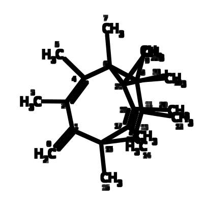 C=C1/C(C)=C(/C)C2(C)C(C)(C)/C(C)=C(/C)C1(C)/C(C)=C(/C)C2(C)I